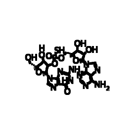 Nc1nc2c(ncn2[C@@H]2O[C@H](CO)C(O)C2OP(=O)(S)OC[C@H]2O[C@@H](n3cnc4c(N)ncnc43)C(O)C2O)c(=O)[nH]1